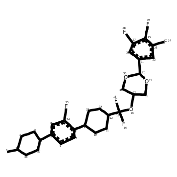 CC1CCC(c2ccc(C3CCC(C(F)(F)OC4COC(c5cc(F)c(F)c(F)c5)OC4)CC3)c(F)c2)CC1